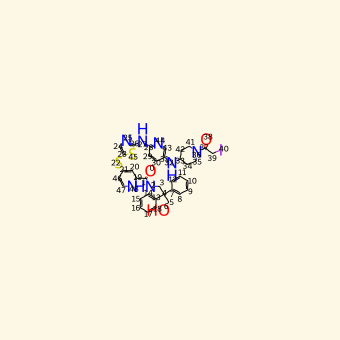 O=C(NCC(CO)(c1ccccc1)c1ccccc1)c1cc(Sc2cnc(Nc3ccc(NC4CCN(C(=O)CI)CC4)cn3)s2)ccn1